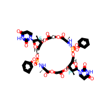 C[C@@H]1NP(=O)(Oc2ccccc2)OC[C@H]2O[C@@H](n3ccc(=O)[nH]c3=O)[C@](C)(F)[C@@H]2OC(=O)COC(=O)[C@H](C)NP(=O)(Oc2ccccc2)OC[C@H]2O[C@@H](n3ccc(=O)[nH]c3=O)[C@](C)(F)[C@@H]2OC(=O)COC1=O